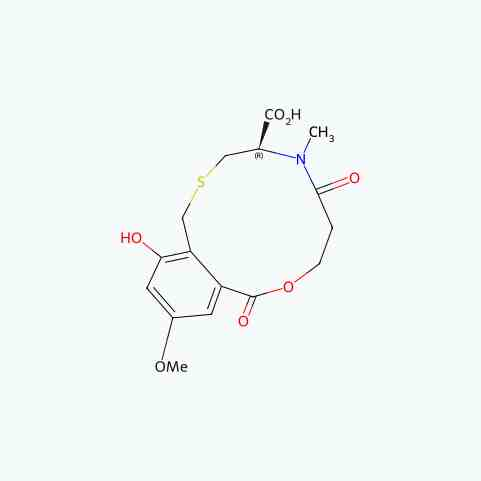 COc1cc(O)c2c(c1)C(=O)OCCC(=O)N(C)[C@H](C(=O)O)CSC2